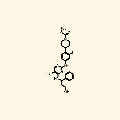 CC(C)(C)OC(=O)N1CCC(c2ccc(Nc3ncc(C(F)(F)F)c(NC(CCO)c4ccccc4)n3)cc2F)CC1